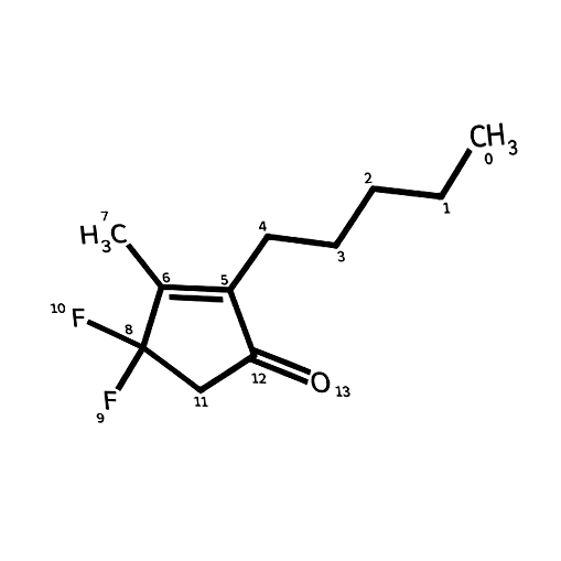 CCCCCC1=C(C)C(F)(F)CC1=O